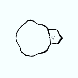 C1CCCCCC2CCCC(CCCCC1)N2